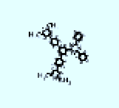 Cc1cc(-c2ccc(-c3cc(-c4ccc(-c5cc(C)nc(C)c5)cc4)cc(-c4nc(-c5ccccc5)nc(-c5ccccc5)n4)c3)cc2)cc(C)n1